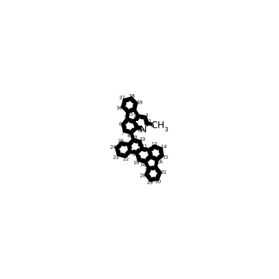 Cc1cc2c3c(ccc(-c4cc5c6cccc7c6c(cc5c5ccccc45)-c4ccccc4-7)c3n1)-c1ccccc1-2